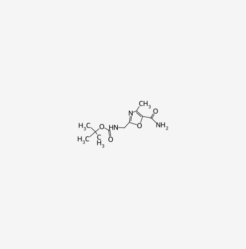 Cc1nc(CNC(=O)OC(C)(C)C)oc1C(N)=O